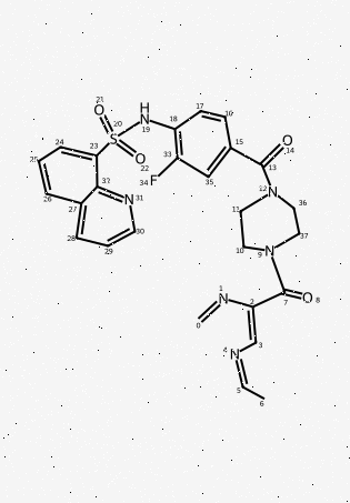 C=N/C(=C\N=C/C)C(=O)N1CCN(C(=O)c2ccc(NS(=O)(=O)c3cccc4cccnc34)c(F)c2)CC1